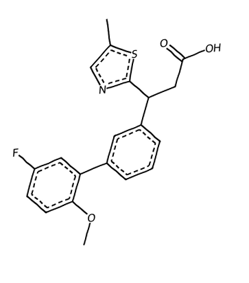 COc1ccc(F)cc1-c1cccc(C(CC(=O)O)c2ncc(C)s2)c1